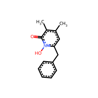 Cc1cc(Cc2ccccc2)n(O)c(=O)c1C